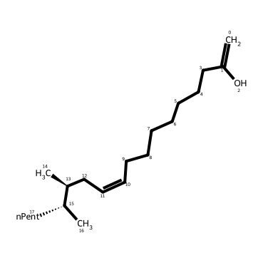 C=C(O)CCCCCCC/C=C\C[C@H](C)[C@H](C)CCCCC